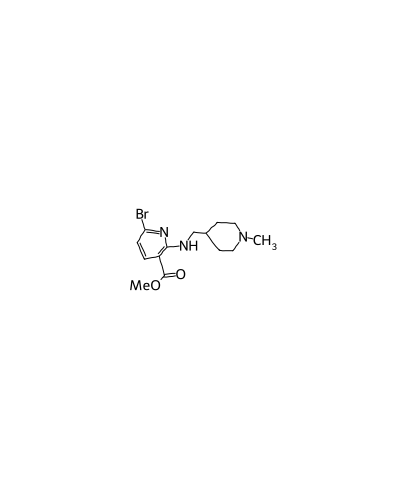 COC(=O)c1ccc(Br)nc1NCC1CCN(C)CC1